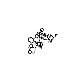 COc1cccc(OC)c1-n1c(C[C@@H](Cc2ncc(F)cn2)N[SH](=O)=O)nnc1C1CCOCC1